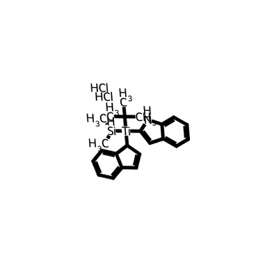 C[SiH](C)[Ti]([c]1cc2ccccc2[nH]1)([CH]1C=Cc2ccccc21)[C](C)(C)C.Cl.Cl